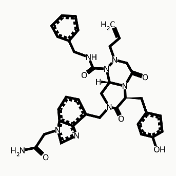 C=CCN1CC(=O)N2[C@@H](Cc3ccc(O)cc3)C(=O)N(Cc3cccc4c3ncn4CC(N)=O)C[C@@H]2N1C(=O)NCc1ccccc1